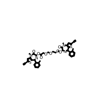 C#Cc1cc2c(s1)C(c1ccccc1C)=NC(OOCCOCOCC(=O)OC1N=C(c3ccccc3C)c3sc(C#C)cc3N(C)C1=O)C(=O)N2C